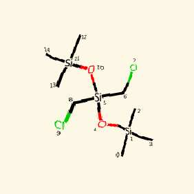 C[Si](C)(C)O[Si](CCl)(CCl)O[Si](C)(C)C